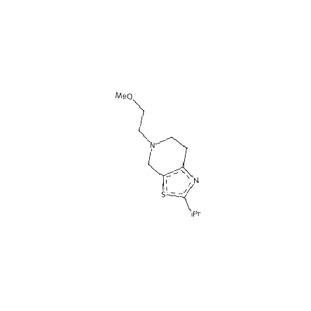 COCCN1CCc2nc(C(C)C)sc2C1